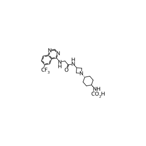 O=C(CNc1ncnc2ccc(C(F)(F)F)cc12)NC1CN([C@H]2CC[C@H](NC(=O)O)CC2)C1